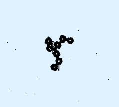 C1=CCC(c2cccc(-c3ccc(N(c4ccc(C5=CC(c6ccccn6)CC=C5)cc4)c4cccc5c4oc4ccccc45)cc3)c2)C=C1